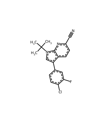 CC(C)(C)n1cc(-c2ccc(Cl)c(F)c2)c2ccc(C#N)nc21